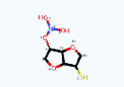 ON(O)O[C@@H]1COC2C(S)COC21